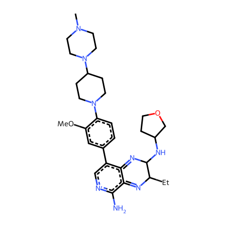 CCC1N=c2c(N)ncc(-c3ccc(N4CCC(N5CCN(C)CC5)CC4)c(OC)c3)c2=NC1NC1CCOC1